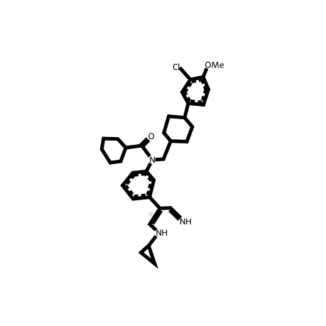 COc1ccc(C2CCC(CN(C(=O)C3CCCCC3)c3cccc(/C(C=N)=C/NC4CC4)c3)CC2)cc1Cl